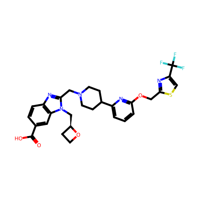 O=C(O)c1ccc2nc(CN3CCC(c4cccc(OCc5nc(C(F)(F)F)cs5)n4)CC3)n(C[C@@H]3CCO3)c2c1